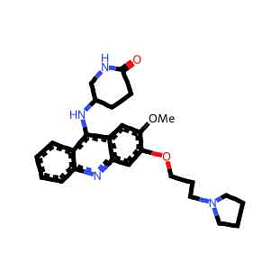 COc1cc2c(NC3CCC(=O)NC3)c3ccccc3nc2cc1OCCCN1CCCC1